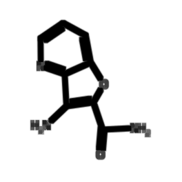 NC(=O)c1oc2cccnc2c1N